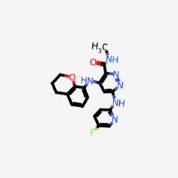 CNC(=O)c1nnc(Nc2ccc(F)cn2)cc1Nc1cccc2c1OCCC2